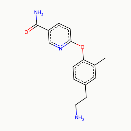 Cc1cc(CCN)ccc1Oc1ccc(C(N)=O)cn1